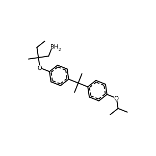 BCC(C)(CC)Oc1ccc(C(C)(C)c2ccc(OC(C)C)cc2)cc1